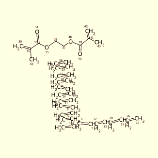 C=C.C=C.C=C.C=C.C=C.C=C.C=C.C=C.C=C.C=C.C=C.C=C.C=C.C=C.C=C.C=C(C)C(=O)OCCOC(=O)C(=C)C